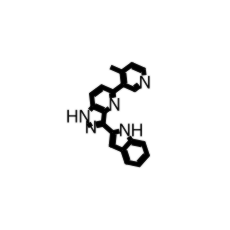 Cc1ccncc1-c1ccc2[nH]nc(-c3cc4ccccc4[nH]3)c2n1